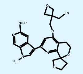 CC(=O)Nc1cc2c(-c3cc(OCC4(CC#N)COC4)c4c(n3)C3(CCOC3)OCC4)cn(C)c2cn1